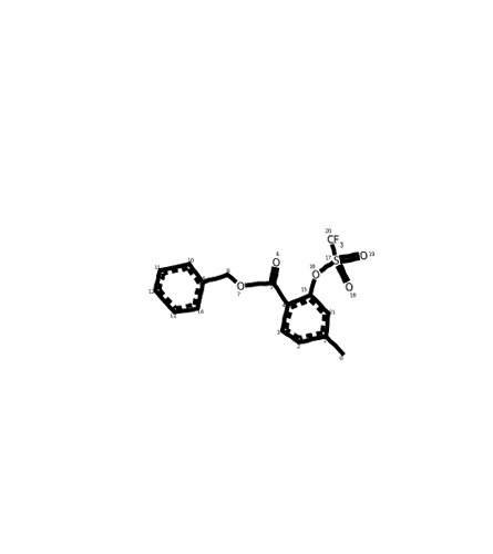 Cc1ccc(C(=O)OCc2ccccc2)c(OS(=O)(=O)C(F)(F)F)c1